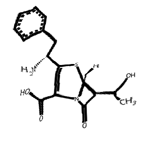 CC(O)[C@H]1C(=O)N2C(C(=O)O)=C([C@H](N)Cc3ccccc3)S[C@H]12